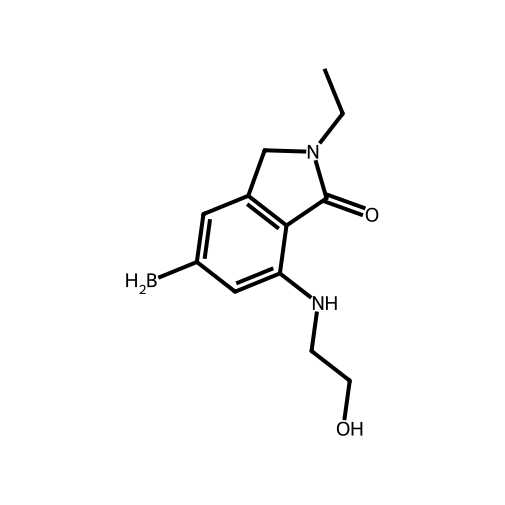 Bc1cc2c(c(NCCO)c1)C(=O)N(CC)C2